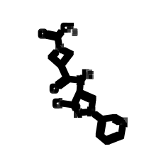 CCN(C(=O)C1CN(C(=O)C(F)(F)F)C1)c1cn(-c2cccnc2)nc1Cl